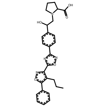 CCCc1c(-c2nc(-c3ccc(C(O)CN4CCCC4C(=O)O)cc3)no2)noc1-c1ccccc1